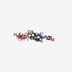 CC1C(OC(=O)CC(C)(C)C(=O)O)CCC2(C)C1CCC1(C)C3CCC4(NCCN5CC6CC5C[S+]6[O-])CCC[C@@H]4C3CCC21